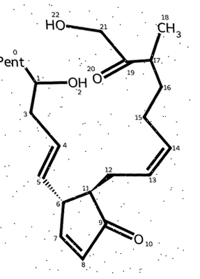 CCCC(C)C(O)C/C=C/[C@H]1C=CC(=O)[C@@H]1C/C=C\CCC(C)C(=O)CO